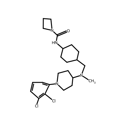 CN(CC1CCC(NC(=O)N2CCC2)CC1)C1CCN(c2cccc(Cl)c2Cl)CC1